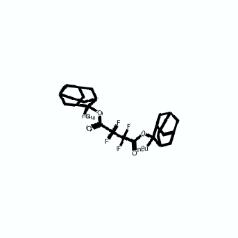 CCCCC1(OC(=O)C(F)(F)C(F)(F)C(=O)OC2(CCCC)C3CC4CC(C3)CC2C4)C2CC3CC(C2)CC1C3